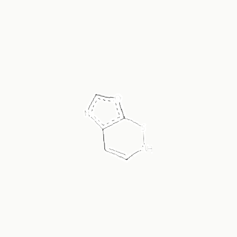 C1=Cc2ncoc2SN1